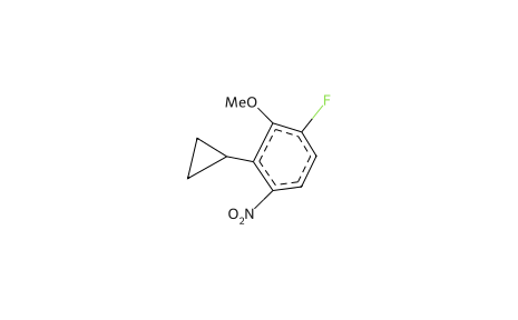 COc1c(F)ccc([N+](=O)[O-])c1C1CC1